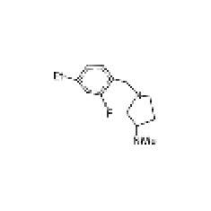 CCc1ccc(CN2CCC(NC)C2)c(F)c1